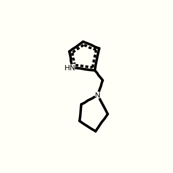 c1c[nH]c(CN2CCCC2)c1